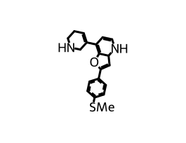 CSc1ccc(C2=CC3NC=CC(C4=CCCNC4)=C3O2)cc1